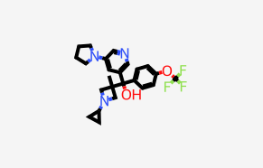 CC1(C(O)(c2ccc(OC(F)(F)F)cc2)c2cncc(N3CCCC3)c2)CN(C2CC2)C1